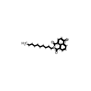 CCCCCCCCCCN1C(=O)c2cccc3c(Br)ccc(c23)C1=O